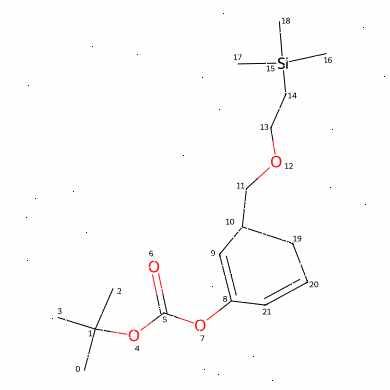 CC(C)(C)OC(=O)OC1=CC(COCC[Si](C)(C)C)CC=C1